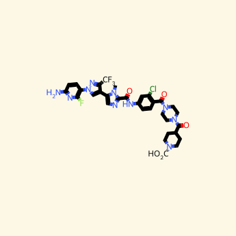 Cn1c(-c2cn(-c3ccc(N)nc3F)nc2C(F)(F)F)cnc1C(=O)Nc1ccc(C(=O)N2CCN(C(=O)C3CCN(C(=O)O)CC3)CC2)c(Cl)c1